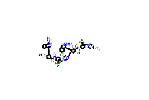 Cc1ccc(C(=O)Nc2ccc(CN3CCN(CCc4ccc(C(=O)Nc5ccc(CN6CCN(C)CC6)c(C(F)(F)F)c5)cc4C#Cc4c(N)ncc5ccc(Cl)cc45)CC3)c(C(F)(F)F)c2)cc1C#Cc1cnc(N)c2ccccc12